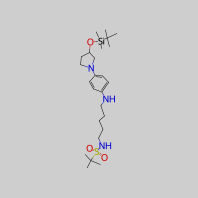 CC(C)(C)[Si](C)(C)OC1CCN(c2ccc(NCCCCCNS(=O)(=O)C(C)(C)C)cc2)C1